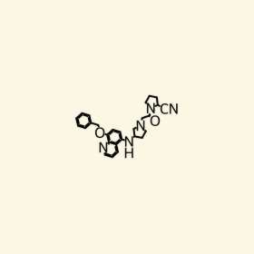 N#CC1CCCN1C(=O)CN1CC[C@H](Nc2ccc(OCc3ccccc3)c3ncccc23)C1